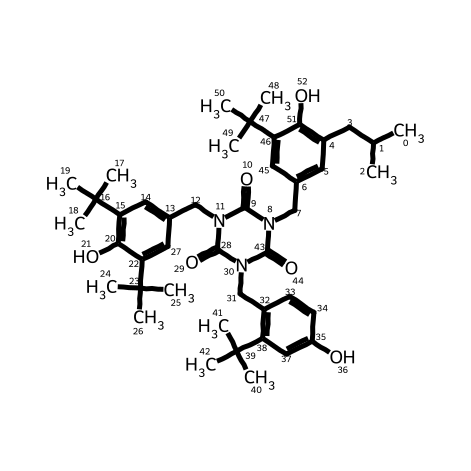 CC(C)Cc1cc(Cn2c(=O)n(Cc3cc(C(C)(C)C)c(O)c(C(C)(C)C)c3)c(=O)n(Cc3ccc(O)cc3C(C)(C)C)c2=O)cc(C(C)(C)C)c1O